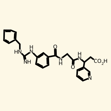 N=C(NCc1ccccc1)Nc1cccc(C(=O)NCC(=O)NC(CC(=O)O)c2cccnc2)c1